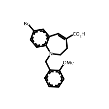 COc1ccccc1CN1CCC(C(=O)O)=Cc2cc(Br)ccc21